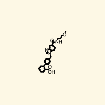 COCCCNC(=O)c1ccc2c(c1)ncn2Cc1ccc(-c2ccccc2C(=O)O)cc1